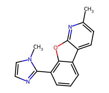 Cc1ccc2c(n1)oc1c(-c3nccn3C)cccc12